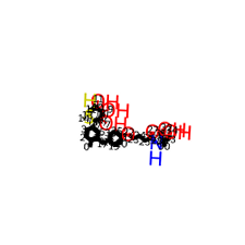 Cc1ccc([C@H]2[C@H](O)[C@H](O)[C@H](O)C[SH]2C)cc1Cc1ccc(OCCCC(=O)NC(C)(CO)CO)cc1